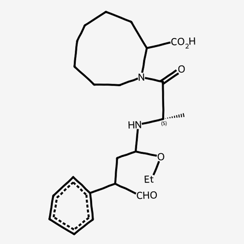 CCOC(CC(C=O)c1ccccc1)N[C@@H](C)C(=O)N1CCCCCCCC1C(=O)O